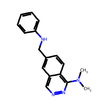 CN(C)c1nncc2cc(CNc3ccccc3)ccc12